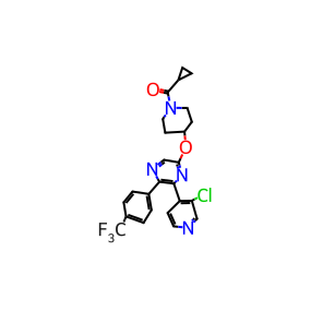 O=C(C1CC1)N1CCC(Oc2cnc(-c3ccc(C(F)(F)F)cc3)c(-c3ccncc3Cl)n2)CC1